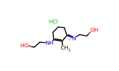 CC1=C(NCCO)CCC/C1=N\CCO.Cl